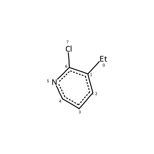 CCc1[c]ccnc1Cl